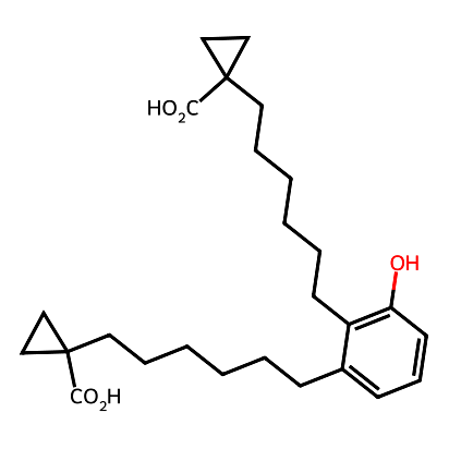 O=C(O)C1(CCCCCCc2cccc(O)c2CCCCCCC2(C(=O)O)CC2)CC1